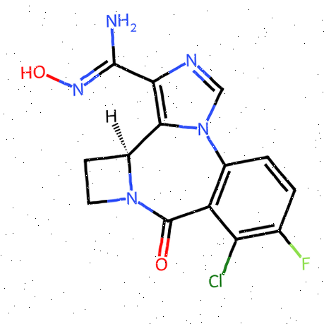 NC(=NO)c1ncn2c1[C@@H]1CCN1C(=O)c1c-2ccc(F)c1Cl